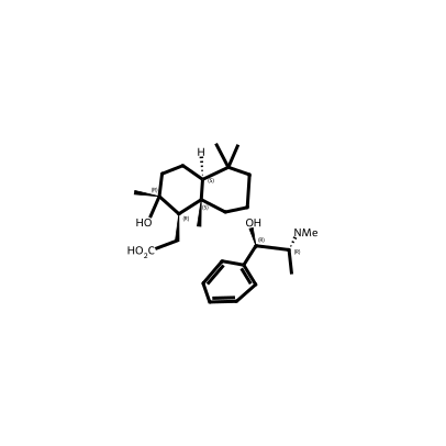 CC1(C)CCC[C@]2(C)[C@@H](CC(=O)O)[C@](C)(O)CC[C@@H]12.CN[C@H](C)[C@H](O)c1ccccc1